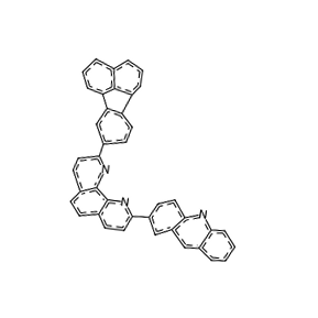 c1ccc2nc3ccc(-c4ccc5ccc6ccc(-c7ccc8c(c7)-c7cccc9cccc-8c79)nc6c5n4)cc3cc2c1